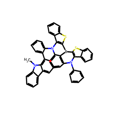 Cn1c2ccccc2c2cccc(-c3ccccc3N3c4cccc5c4B(c4sc6ccccc6c4N5c4ccccc4)c4sc5ccccc5c43)c21